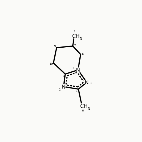 Cc1nc2n(n1)CC(C)CC2